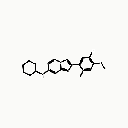 COc1cc(C)c(-c2cn3ccc(NC4CCCCC4)cc3n2)cc1Cl